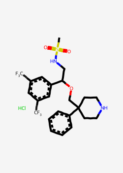 CS(=O)(=O)NCC(OCC1(c2ccccc2)CCNCC1)c1cc(C(F)(F)F)cc(C(F)(F)F)c1.Cl